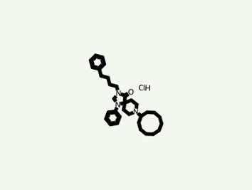 Cl.O=C1N(CCCCc2ccccc2)CN(c2ccccc2)C12CCN(C1CCCCCCCCC1)CC2